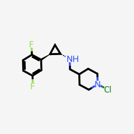 Fc1ccc(F)c([C@H]2C[C@@H]2NCC2CCN(Cl)CC2)c1